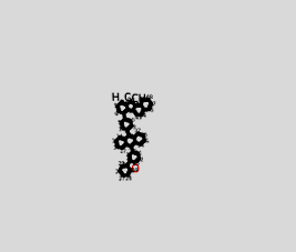 CC1(C)c2cccc(-c3ccc(-c4c5ccccc5c(-c5ccc6oc7ccccc7c6c5)c5ccccc45)cc3)c2-c2ccc3ccccc3c21